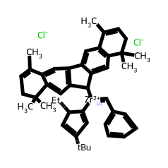 CCC1C=C(C(C)(C)C)C=[C]1/[Zr+2](=[CH]\c1ccccc1)[CH]1c2cc3c(cc2-c2cc4c(cc21)C(C)(C)CC=C4C)C(C)=CCC3(C)C.[Cl-].[Cl-]